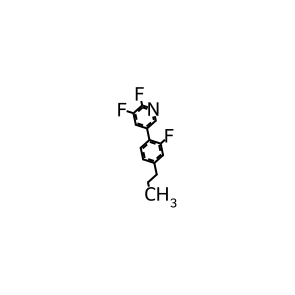 CCCc1ccc(-c2cnc(F)c(F)c2)c(F)c1